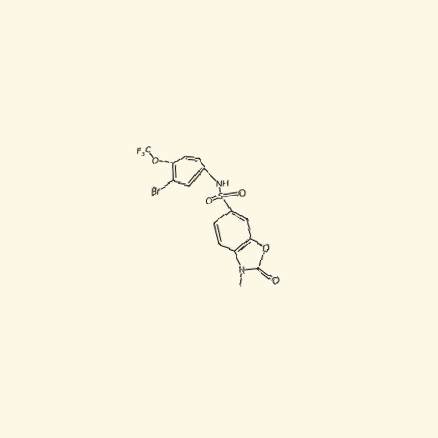 Cn1c(=O)oc2cc(S(=O)(=O)Nc3ccc(OC(F)(F)F)c(Br)c3)ccc21